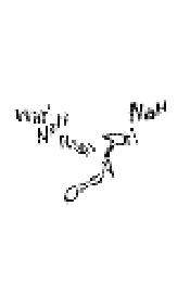 O=NO.[NaH].[NaH].[NaH].[NaH]